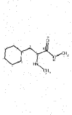 CNC(CC1CCCCC1)C(=O)OC